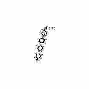 CCCCC[C@@H]1CO[C@@H](c2ccc(-c3ccc([C@H]4CC[C@H](CC)CC4)cc3)cc2)CO1